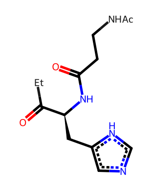 CCC(=O)[C@H](Cc1cnc[nH]1)NC(=O)CCNC(C)=O